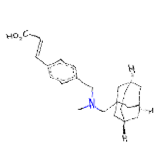 CN(Cc1ccc(/C=C/C(=O)O)cc1)CC12C[C@H]3C[C@H](C1)C[C@@H](C2)C3